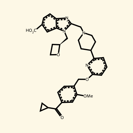 COc1cc(C(=O)C2CC2)ccc1COc1cccc(C2CCN(Cc3nc4ccc(C(=O)O)cc4n3C[C@@H]3CCO3)CC2)n1